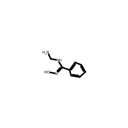 NCNC(=NO)c1ccccc1